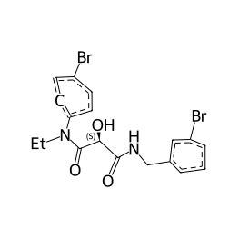 CCN(C(=O)[C@@H](O)C(=O)NCc1cccc(Br)c1)c1ccc(Br)cc1